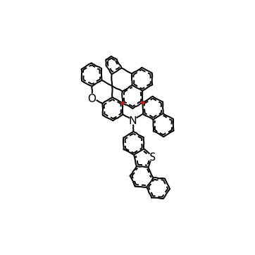 c1ccc2c(c1)Oc1ccc(N(c3ccc4c(c3)sc3c5ccccc5ccc43)c3cccc4ccccc34)cc1C21c2ccccc2-c2cccc3cccc1c23